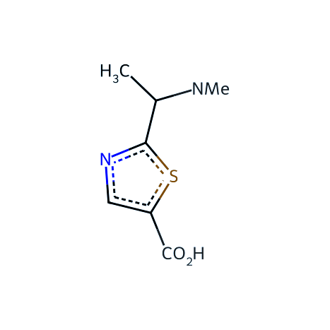 CNC(C)c1ncc(C(=O)O)s1